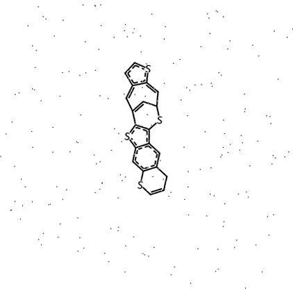 C1=CSc2cc3sc4c(c3cc2C1)SC1C=C4C=c2ccsc2=C1